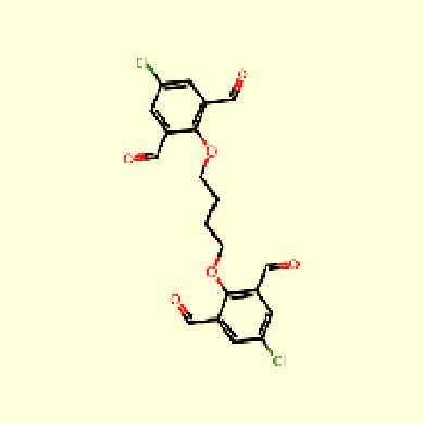 O=Cc1cc(Cl)cc(C=O)c1OCCCCOc1c(C=O)cc(Cl)cc1C=O